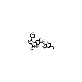 CCc1cnc2c(c1)CCN2C(=O)c1cc2[nH]c(=O)c3cnc(C4CCOCC4)n3c2cc1C